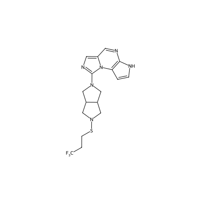 FC(F)(F)CCSN1CC2CN(c3ncc4cnc5[nH]ccc5n34)CC2C1